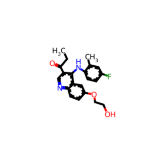 CCC(=O)c1cnc2ccc(OCCO)cc2c1Nc1ccc(F)cc1C